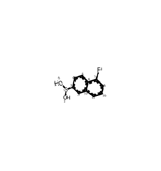 OB(O)c1ccc2c(F)cccc2c1